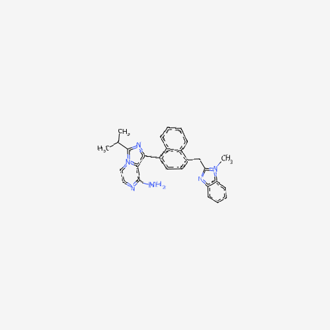 CC(C)c1nc(-c2ccc(Cc3nc4ccccc4n3C)c3ccccc23)c2c(N)nccn12